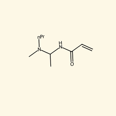 C=CC(=O)NC(C)N(C)CCC